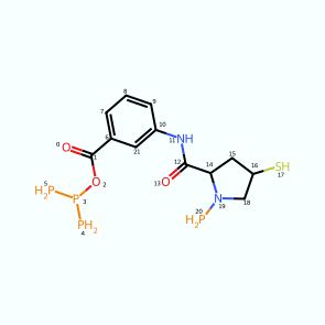 O=C(OP(P)P)c1cccc(NC(=O)C2CC(S)CN2P)c1